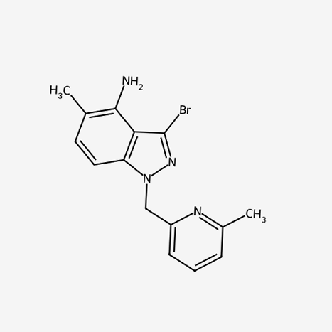 Cc1cccc(Cn2nc(Br)c3c(N)c(C)ccc32)n1